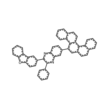 c1ccc(-c2nc3cc(-c4cc5ccc6ccccc6c5c5ccc6ccccc6c45)ccc3nc2-c2ccc3oc4ccccc4c3c2)cc1